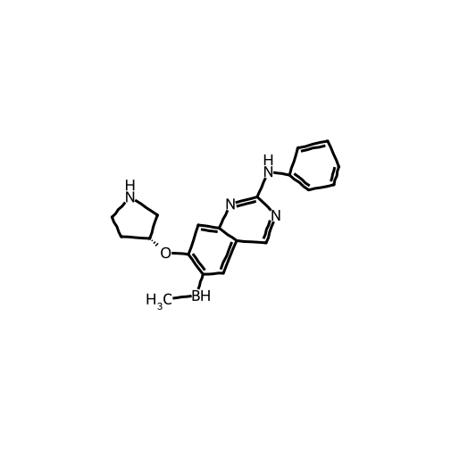 CBc1cc2cnc(Nc3ccccc3)nc2cc1O[C@@H]1CCNC1